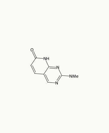 CNc1ncc2ccc(=O)[nH]c2n1